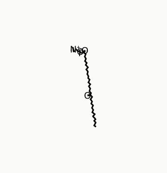 CCCCCCCCCCCCCCCC(=O)CCCCCCCCCCCCCCCCCCCC(=O)[P-]OCC[N+](C)(C)C